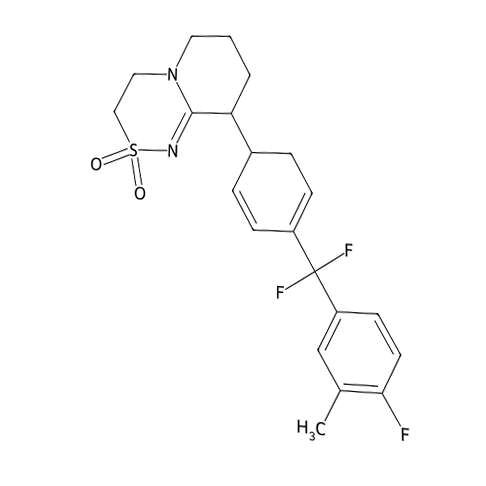 Cc1cc(C(F)(F)C2=CCC(C3CCCN4CCS(=O)(=O)N=C34)C=C2)ccc1F